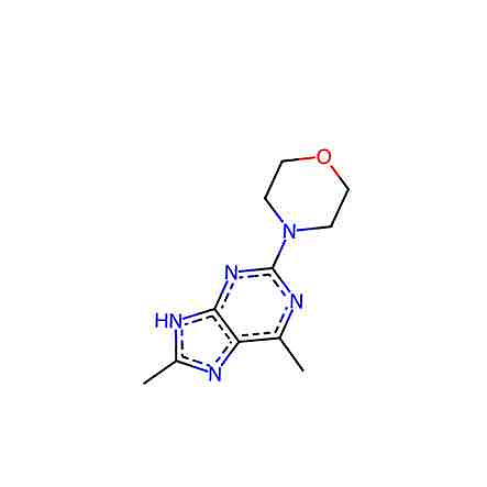 Cc1nc2c(C)nc(N3CCOCC3)nc2[nH]1